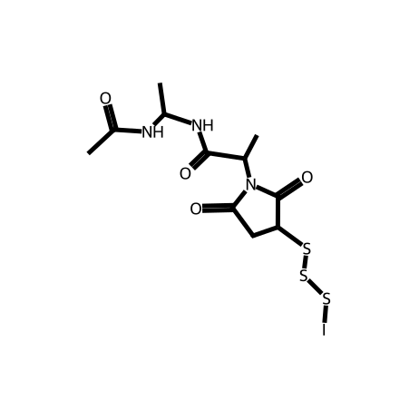 CC(=O)NC(C)NC(=O)C(C)N1C(=O)CC(SSSI)C1=O